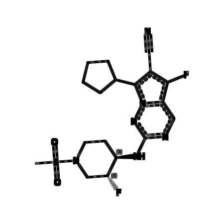 CS(=O)(=O)N1CC[C@@H](Nc2ncc3c(F)c(C#N)c(C4CCCC4)n3n2)[C@H](F)C1